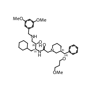 COCCCO[C@@H](c1ccccc1)[C@@H]1CCCN(CC(=O)N[C@@H](CC2CCCCC2)[C@H](O)CNCc2cc(OC)cc(OC)c2)C1